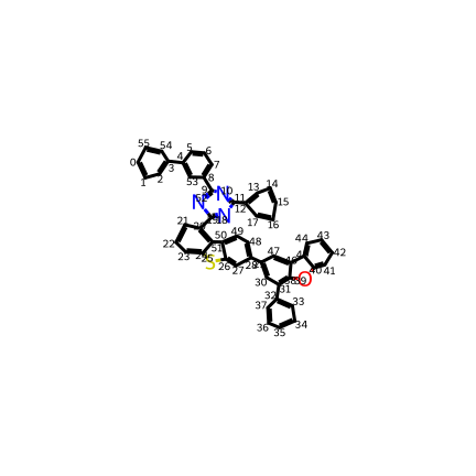 c1ccc(-c2cccc(-c3nc(-c4ccccc4)nc(-c4cccc5sc6cc(-c7cc(-c8ccccc8)c8oc9ccccc9c8c7)ccc6c45)n3)c2)cc1